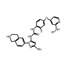 CC(C)Nc1cc(Oc2ccc(NC(=O)Nc3cc(C(C)(C)C)nn3-c3ccc4c(c3)CCNC4)c(F)c2)ccn1